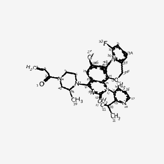 C=CC(=O)N1CCN(c2nc(=O)n(-c3c(C)ccnc3C(C)C)c3c4c(c(Cl)cc23)-n2c(F)ccc2CO4)[C@@H](C)C1